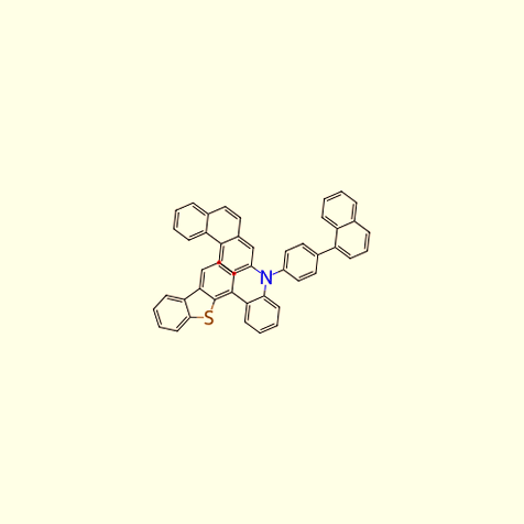 c1ccc(N(c2ccc(-c3cccc4ccccc34)cc2)c2ccc3c(ccc4ccccc43)c2)c(-c2cccc3c2sc2ccccc23)c1